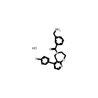 Cl.NCc1cccc(C(=O)N2CCOc3nccc(-c4ccc(F)cc4)c3C2)c1